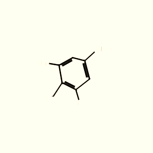 O=Cc1cc(Cl)c(Cl)c(Br)c1